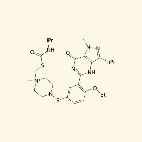 CCCc1nn(C)c2c(=O)nc(-c3cc(SN4CC[N+](C)(CSC(=O)NC(C)C)CC4)ccc3OCC)[nH]c12